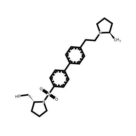 C[C@@H]1CCCN1CCc1ccc(-c2ccc(S(=O)(=O)N3CCC[C@@H]3CO)cc2)cc1